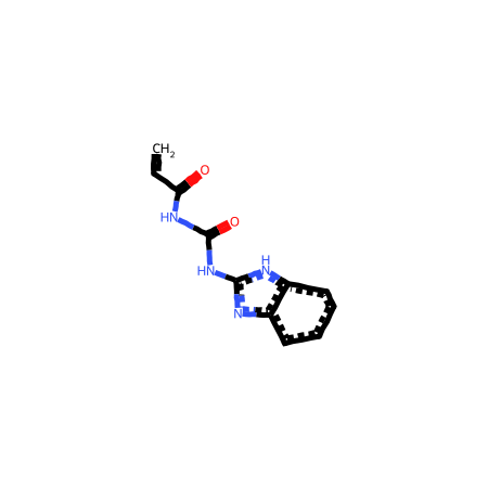 C=CC(=O)NC(=O)Nc1nc2ccccc2[nH]1